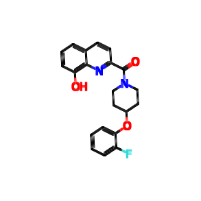 O=C(c1ccc2cccc(O)c2n1)N1CCC(Oc2ccccc2F)CC1